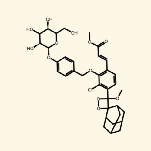 COC(=O)/C=C/c1ccc(C2(OC)OOC23C2CC4CC(C2)CC3C4)c(Cl)c1OCc1ccc(O[C@@H]2OC(CO)[C@H](O)C(O)[C@@H]2O)cc1